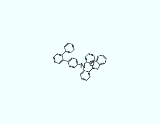 c1ccc(-c2ccccc2-c2ccc(N(c3ccccc3)c3ccccc3-c3cc4ccccc4o3)cc2)cc1